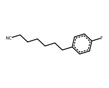 N#CCCCCCCc1ccc(F)cc1